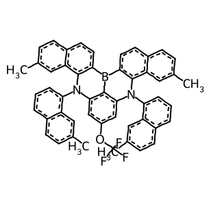 Cc1ccc2cccc(N3c4cc(OC(F)(F)F)cc5c4B(c4ccc6ccc(C)cc6c43)c3ccc4ccc(C)cc4c3N5c3cccc4ccc(C)cc34)c2c1